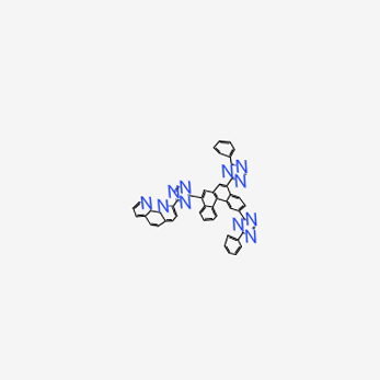 c1ccc(-c2ncnc(-c3ccc4c(-c5ncnc(-c6ccccc6)n5)cc5cc(-c6ncnc(-c7ccc8ccc9cccnc9c8n7)n6)c6ccccc6c5c4c3)n2)cc1